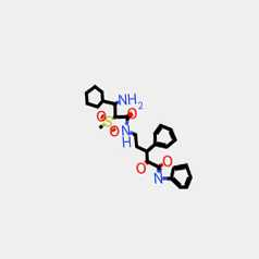 CS(=O)(=O)C(C(=O)NCCC(C(=O)c1nc2ccccc2o1)c1ccccc1)C(N)C1CCCCC1